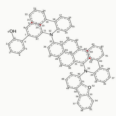 Oc1ccccc1-c1cccc(N(c2ccccc2-c2ccccc2)c2ccc3ccc4c(N(c5ccccc5-c5ccccc5)c5cccc6c5oc5ccccc56)ccc5ccc2c3c54)c1